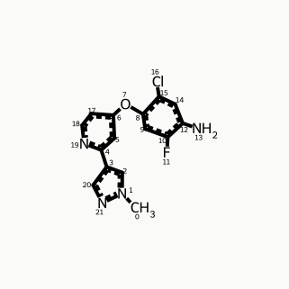 Cn1cc(-c2cc(Oc3cc(F)c(N)cc3Cl)ccn2)cn1